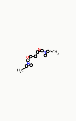 C=CCc1ccc2c(c1)c1ccccc1n2C1=CC2c3cc(-c4cccc(-c5ccc6oc7ccc(-n8c9ccccc9c9cc(CC=C)ccc98)cc7c6c5)c4)ccc3OC2C=C1